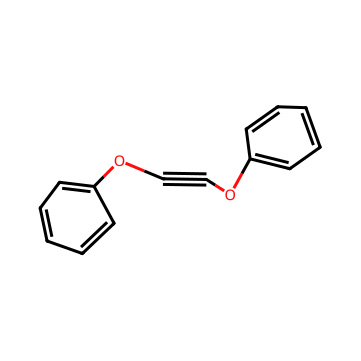 C(#COc1ccccc1)Oc1ccccc1